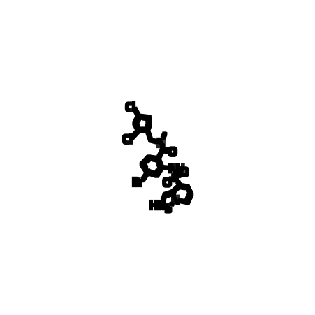 CN(Cc1ccc(Cl)cc1Cl)C(=O)c1ccc(Br)cc1NS(=O)(=O)C1=CC=CN2SNC=C12